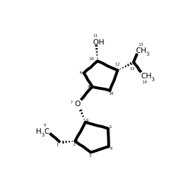 CC[C@H]1CCC[C@H]1OC1C[C@H](O)[C@H](C(C)C)C1